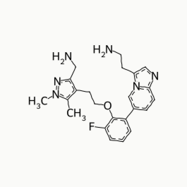 Cc1c(CCOc2c(F)cccc2-c2ccc3ncc(CCN)n3c2)c(CN)nn1C